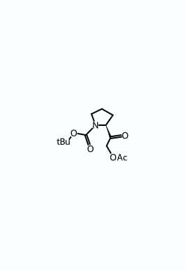 CC(=O)OCC(=O)[C@@H]1CCCN1C(=O)OC(C)(C)C